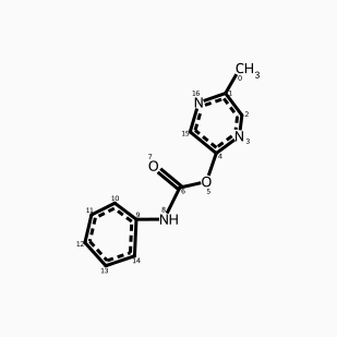 Cc1cnc(OC(=O)Nc2ccccc2)cn1